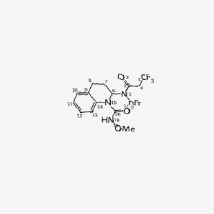 CCCN(C(=O)CC(F)(F)F)C1CCc2ccccc2N1C(=O)NOC